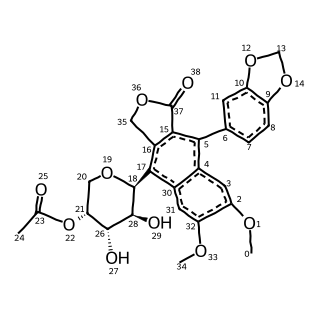 COc1cc2c(-c3ccc4c(c3)OCO4)c3c(c([C@@H]4OC[C@@H](OC(C)=O)[C@@H](O)[C@@H]4O)c2cc1OC)COC3=O